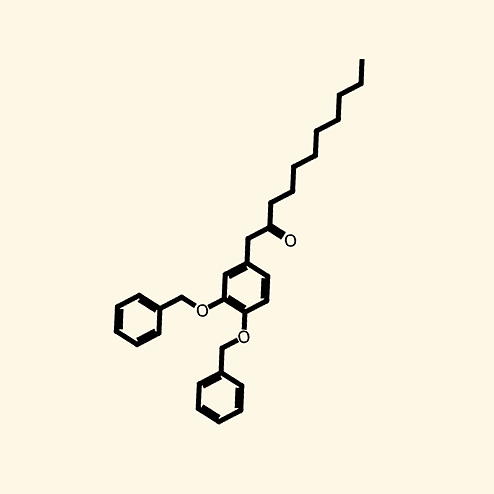 CCCCCCCCCC(=O)Cc1ccc(OCc2ccccc2)c(OCc2ccccc2)c1